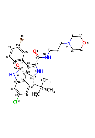 CC(C)(C)C[C@H]1N[C@@H](C(=O)NCCCN2CCOCC2)[C@H](c2cccc(Br)c2)[C@@]12C(=O)Nc1cc(Cl)ccc12